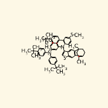 CSc1ccc(N(c2cc(C)cc(N(c3ccc(C(C)(C)C)cc3)c3ccc(C(C)(C)C)cc3)c2)c2csc3cc4c(cc23)C2(C)CCC(CC2)C4C)c(-c2ccc(C(C)(C)C)cc2)c1